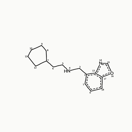 c1cc(CNCCC2CCCCC2)c2ncoc2c1